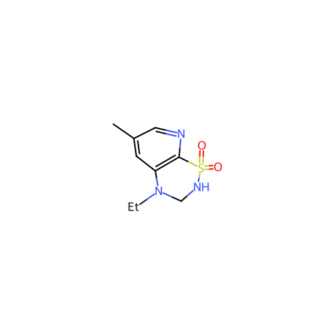 CCN1CNS(=O)(=O)c2ncc(C)cc21